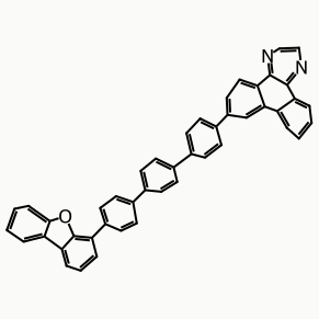 c1ccc2c(c1)oc1c(-c3ccc(-c4ccc(-c5ccc(-c6ccc7c(c6)c6ccccc6c6nccnc76)cc5)cc4)cc3)cccc12